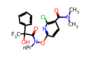 CCCN(Oc1ccc(C(=O)N(C)C)c(Cl)n1)C(=O)C(O)(c1ccccc1)C(F)(F)F